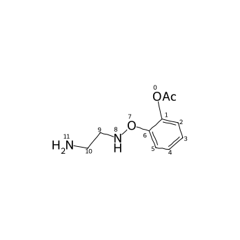 CC(=O)Oc1ccccc1ONCCN